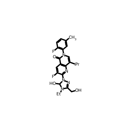 CCN1C(CO)=NN(c2nc3c(C(C)C)cn(-c4cc(C)ccc4F)c(=O)c3cc2F)C1O